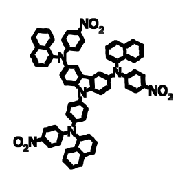 O=[N+]([O-])c1ccc(N(c2ccc(-n3c4ccc(N(c5ccc([N+](=O)[O-])cc5)c5cccc6ccccc56)cc4c4cc(N(c5ccc([N+](=O)[O-])cc5)c5cccc6ccccc56)ccc43)cc2)c2cccc3ccccc23)cc1